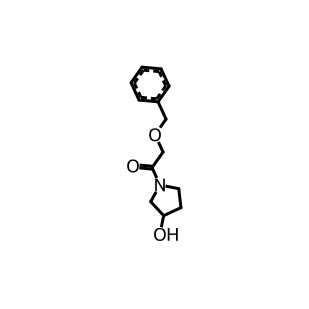 O=C(COCc1ccccc1)N1CCC(O)C1